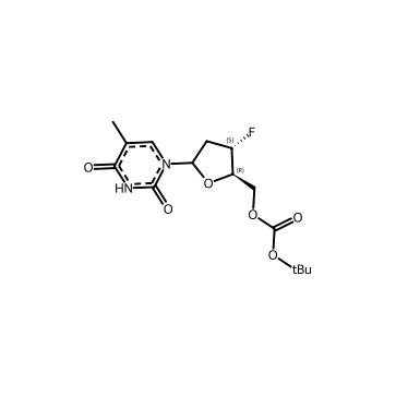 Cc1cn(C2C[C@H](F)[C@@H](COC(=O)OC(C)(C)C)O2)c(=O)[nH]c1=O